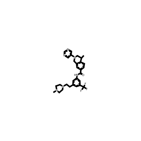 CC1CN(c2cncnc2)Cc2cc(C(=O)Nc3cc(CCN4CCN(C)CC4)cc(C(F)(F)F)c3)ccc21